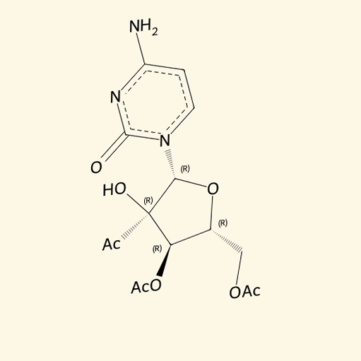 CC(=O)OC[C@H]1O[C@@H](n2ccc(N)nc2=O)[C@@](O)(C(C)=O)[C@@H]1OC(C)=O